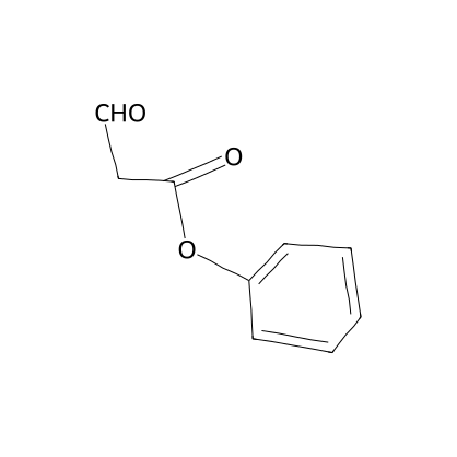 O=CCC(=O)Oc1ccccc1